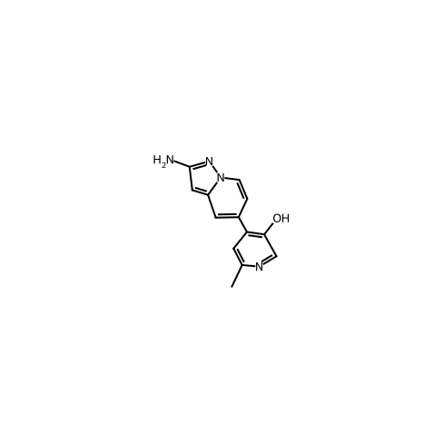 Cc1cc(-c2ccn3nc(N)cc3c2)c(O)cn1